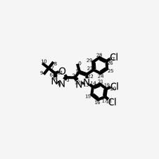 Cc1c(-c2nnc(C(C)(C)C)o2)nn(-c2ccc(Cl)c(Cl)c2)c1-c1ccc(Cl)cc1